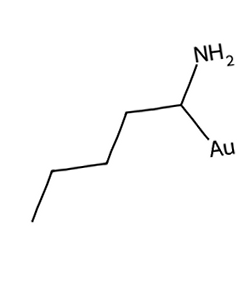 CCCC[CH](N)[Au]